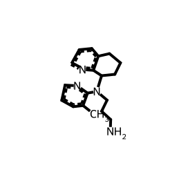 Cc1cccnc1N(CCCN)C1CCCc2cccnc21